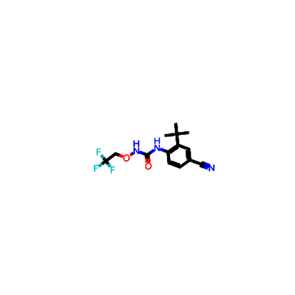 CC(C)(C)c1cc(C#N)ccc1NC(=O)NOCC(F)(F)F